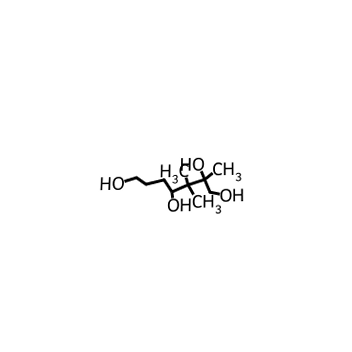 CC(O)(CO)C(C)(C)C(O)CCCO